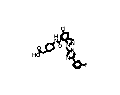 O=C(O)CC1CCC(NC(=O)c2cc(Cl)cc3cnn(Cc4cnc(-c5cccc(F)c5)cn4)c23)CC1